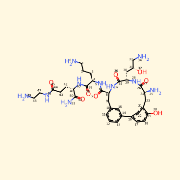 NCCC[C@@H](NC(=O)[C@@H]1Cc2cccc(c2)-c2ccc(O)c(c2)C[C@H](N)C(=O)N[C@@H](C[C@@H](O)CN)C(=O)N1)C(=O)N[C@@H](CCC(=O)NCCN)C(N)=O